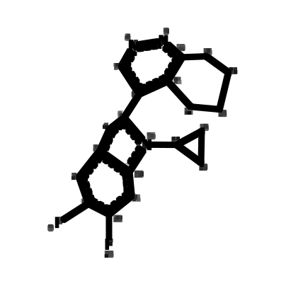 Fc1cc2cc(-c3cnnc4c3CCCC4)n(C3CC3)c2cc1F